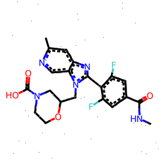 CNC(=O)c1cc(F)c(-c2nc3cc(C)ncc3n2CC2CN(C(=O)O)CCO2)c(F)c1